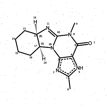 Cc1nc2c([nH]1)C(=O)N(C)C1=N[C@@H]3CCCC[C@@H]3N12